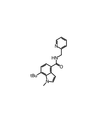 Cn1ccc2c(C(=O)NCc3ccccn3)ccc(C(C)(C)C)c21